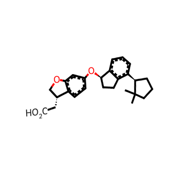 CC1(C)CCC[C@@H]1c1cccc2c1CC[C@H]2Oc1ccc2c(c1)OC[C@H]2CC(=O)O